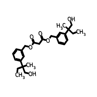 CCC(C)(CO)c1cccc(COC(=O)CC(=O)OCc2cccc(C(C)(CC)CO)c2)c1